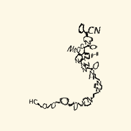 C#CCOCCOCCOCCOCCN1CCN(CCCN2CCN(CCCNC(=O)c3ncn(-c4ncc(OC)c5c(C(=O)C(=O)N6CCC(=C(C#N)c7ccccc7)CC6)c[nH]c45)n3)CC2)CC1